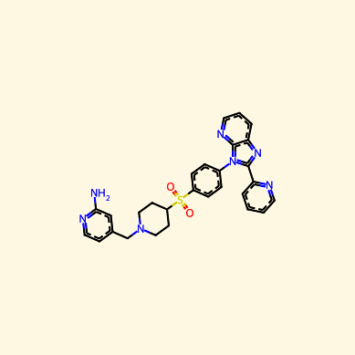 Nc1cc(CN2CCC(S(=O)(=O)c3ccc(-n4c(-c5ccccn5)nc5cccnc54)cc3)CC2)ccn1